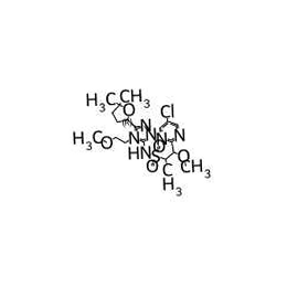 COCCn1c(NS(=O)(=O)C(C)C(OC)c2ncc(Cl)cn2)nnc1[C@H]1CCC(C)(C)O1